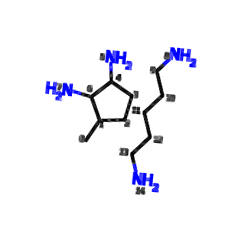 CC1CCC(N)C1N.NCCCCCN